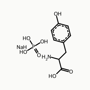 NC(Cc1ccc(O)cc1)C(=O)O.O=P(O)(O)O.[NaH]